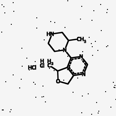 CC1OCc2ncnc(N3CCNCC3C)c21.Cl.Cl